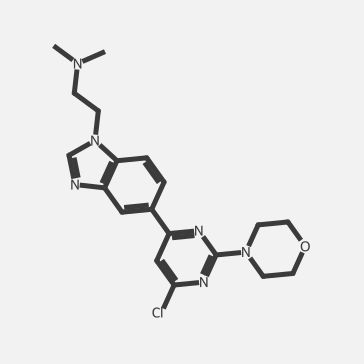 CN(C)CCn1cnc2cc(-c3cc(Cl)nc(N4CCOCC4)n3)ccc21